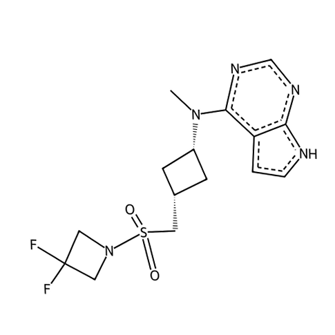 CN(c1ncnc2[nH]ccc12)[C@H]1C[C@@H](CS(=O)(=O)N2CC(F)(F)C2)C1